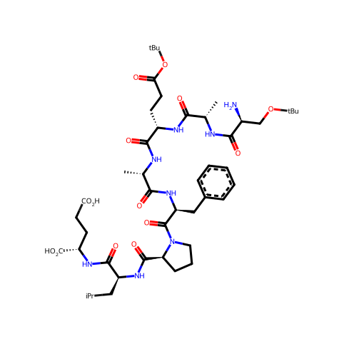 CC(C)C[C@H](NC(=O)[C@@H]1CCCN1C(=O)[C@H](Cc1ccccc1)NC(=O)[C@H](C)NC(=O)[C@H](CCC(=O)OC(C)(C)C)NC(=O)[C@H](C)NC(=O)[C@@H](N)COC(C)(C)C)C(=O)N[C@@H](CCC(=O)O)C(=O)O